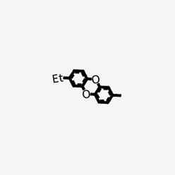 CCc1ccc2c(c1)Oc1ccc(C)cc1O2